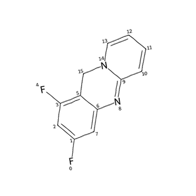 Fc1cc(F)c2c(c1)N=C1C=CC=CN1C2